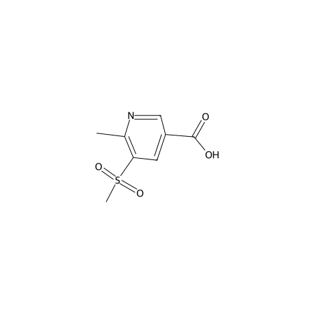 Cc1ncc(C(=O)O)cc1S(C)(=O)=O